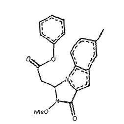 CON1C(=O)c2cc3cc(C)ccc3n2C1CC(=O)Oc1ccccc1